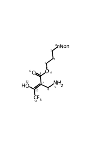 CCCCCCCCCCCCOC(=O)/C(CN)=C(\O)C(F)(F)F